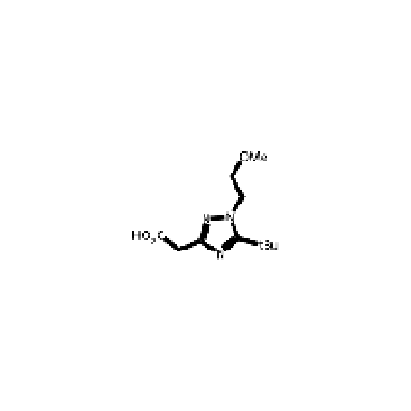 COCCn1nc(CC(=O)O)nc1C(C)(C)C